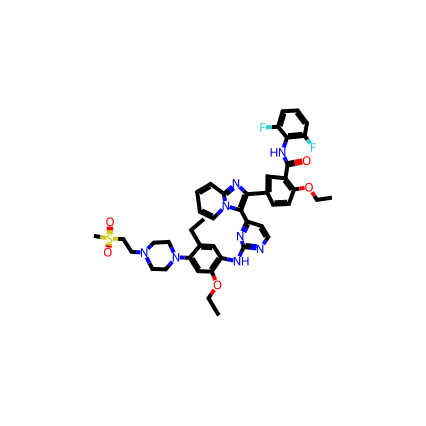 CCOc1cc(N2CCN(CCS(C)(=O)=O)CC2)c(CC)cc1Nc1nccc(-c2c(-c3ccc(OCC)c(C(=O)Nc4c(F)cccc4F)c3)nc3ccccn23)n1